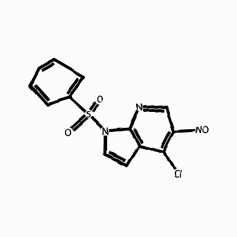 O=Nc1cnc2c(ccn2S(=O)(=O)c2ccccc2)c1Cl